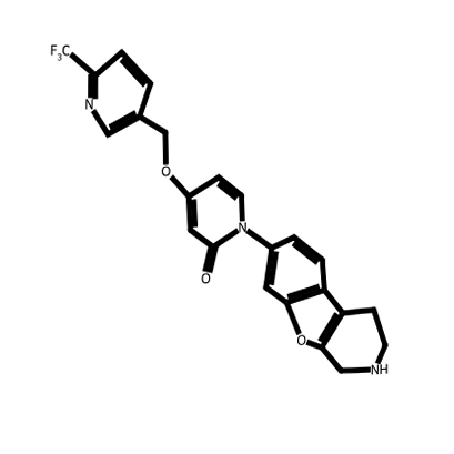 O=c1cc(OCc2ccc(C(F)(F)F)nc2)ccn1-c1ccc2c3c(oc2c1)CNCC3